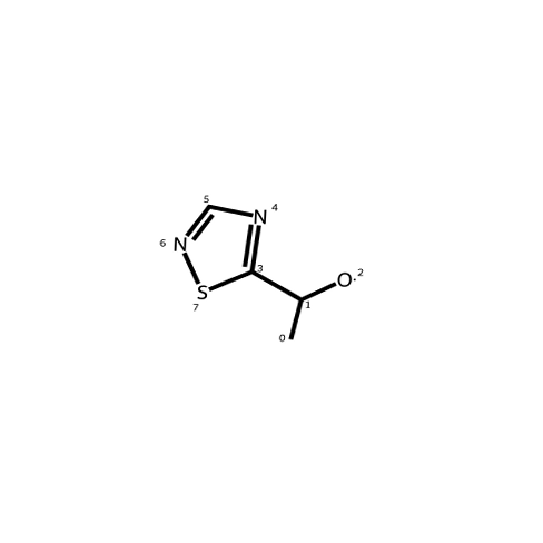 CC([O])c1ncns1